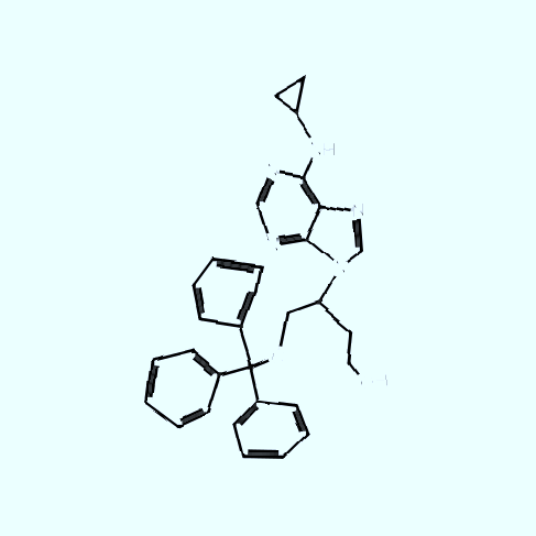 OCCC(COC(c1ccccc1)(c1ccccc1)c1ccccc1)n1cnc2c(NC3CC3)ncnc21